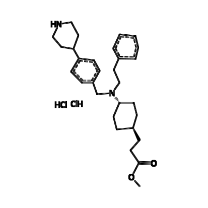 COC(=O)CC[C@H]1CC[C@H](N(CCc2ccccc2)Cc2ccc(C3CCNCC3)cc2)CC1.Cl.Cl